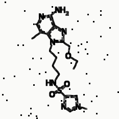 CCOCc1nc2c(N)ncc(C)c2n1CCCCNS(=O)(=O)c1cn(C)cn1